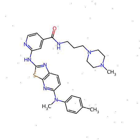 Cc1ccc(N(C)c2ccc3nc(Nc4cc(C(=O)NCCCN5CCN(C)CC5)ccn4)sc3n2)cc1